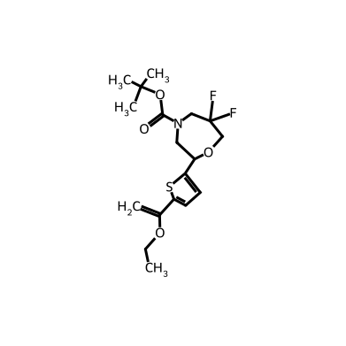 C=C(OCC)c1ccc(C2CN(C(=O)OC(C)(C)C)CC(F)(F)CO2)s1